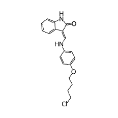 O=C1Nc2ccccc2/C1=C\Nc1ccc(OCCCCCl)cc1